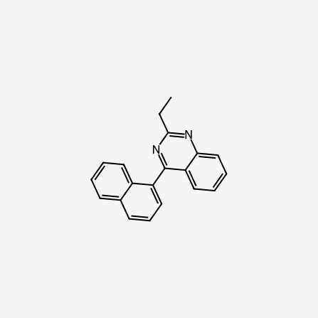 CCc1nc(-c2cccc3ccccc23)c2ccccc2n1